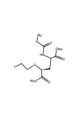 COC(=O)C(C[C@H](OCCF)C(=O)OC)NC(=O)OC(C)(C)C